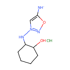 Cl.[NH-]c1c[n+](NC2CCCCC2O)no1